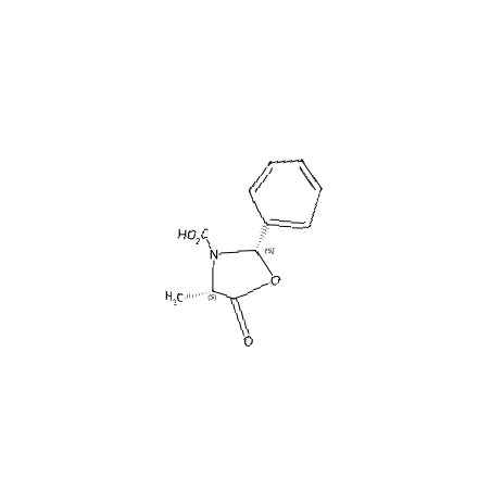 C[C@H]1C(=O)O[C@@H](c2ccccc2)N1C(=O)O